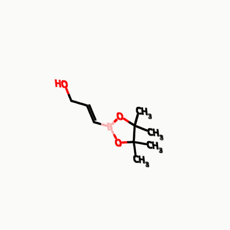 CC1(C)OB(C=CCO)OC1(C)C